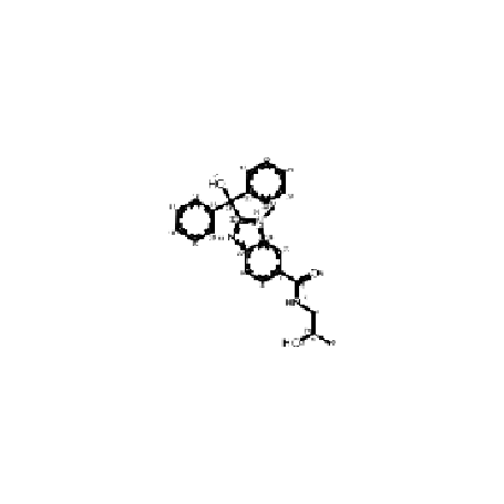 C[C@@H](O)CNC(=O)c1ccc2nc(C(O)(c3ccccc3)c3ccccc3)n(C)c2c1